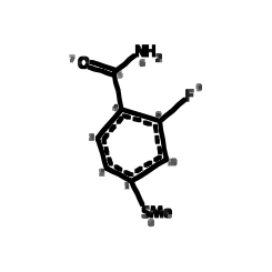 CSc1ccc(C(N)=O)c(F)c1